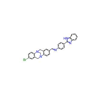 Brc1ccc2c(c1)CN1CN2Cc2cc(/C=N/c3ccc(-c4nc5ccccc5[nH]4)cc3)ccc21